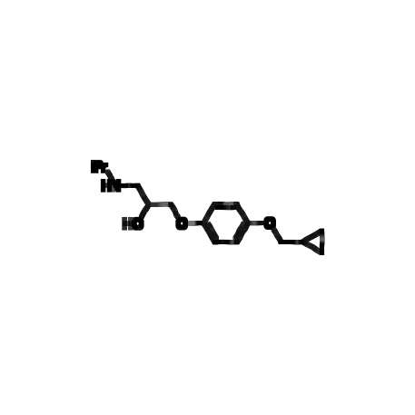 CC(C)NCC(O)COc1ccc(OCC2CC2)cc1